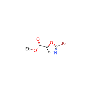 CCOC(=O)c1cnc(Br)o1